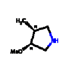 CO[C@@H]1CNC[C@@H]1C